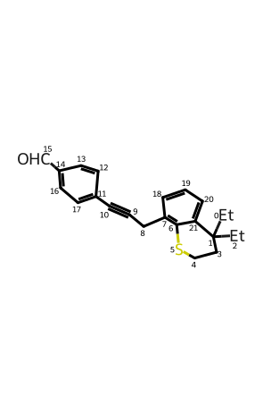 CCC1(CC)CCSc2c(CC#Cc3ccc(C=O)cc3)cccc21